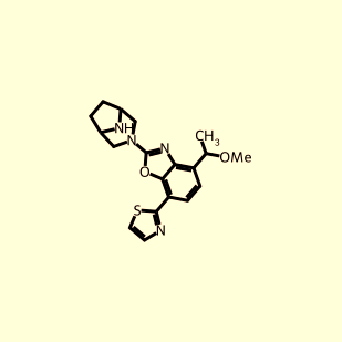 COC(C)c1ccc(-c2nccs2)c2oc(N3CC4CCC(C3)N4)nc12